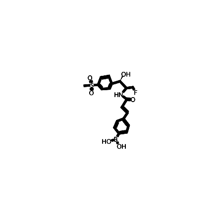 CS(=O)(=O)c1ccc([C@H](O)C(CF)NC(=O)/C=C/c2ccc(B(O)O)cc2)cc1